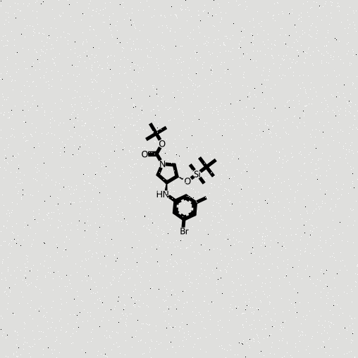 Cc1cc(Br)cc(N[C@H]2CN(C(=O)OC(C)(C)C)C[C@@H]2O[Si](C)(C)C(C)(C)C)c1